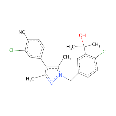 Cc1nn(Cc2ccc(Cl)c(C(C)(C)O)c2)c(C)c1-c1ccc(C#N)c(Cl)c1